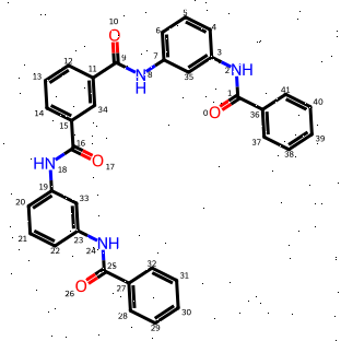 O=C(Nc1cccc(NC(=O)c2cccc(C(=O)Nc3cccc(NC(=O)c4ccccc4)c3)c2)c1)c1ccccc1